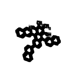 Cc1c(C)c(O)c2c(-c3ccc4ccccc4c3)c3cc(-c4ccc5ccccc5c4)ccc3c(-c3ccc4ccccc4c3)c2c1O